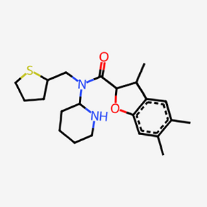 Cc1cc2c(cc1C)C(C)C(C(=O)N(CC1CCCS1)C1CCCCN1)O2